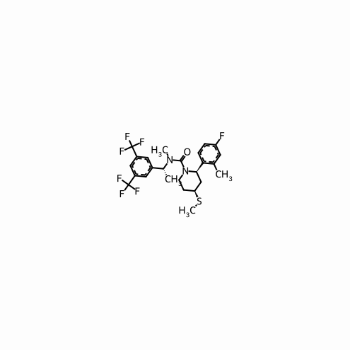 CS[C@H]1CCN(C(=O)N(C)[C@H](C)c2cc(C(F)(F)F)cc(C(F)(F)F)c2)[C@@H](c2ccc(F)cc2C)C1